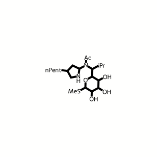 CCCCCC1CNC(N(C(C)=O)C(C(C)C)C2OC(SC)C(O)C(O)C2O)C1